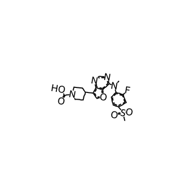 CN(c1ccc(S(C)(=O)=O)cc1F)c1ncnc2c(C3CCN(C(=O)O)CC3)coc12